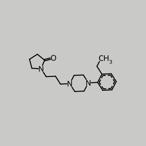 CCc1ccccc1N1CCN(CCCN2CCCC2=O)CC1